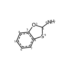 [NH]C1Oc2ccccc2S1